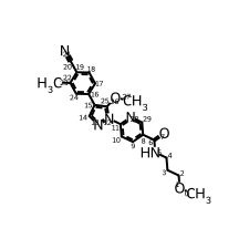 COCCCNC(=O)c1ccc(-n2ncc(-c3ccc(C#N)c(C)c3)c2OC)nc1